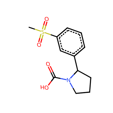 CS(=O)(=O)c1cccc(C2CCCN2C(=O)O)c1